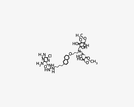 CC1OC[C@@H](O)[C@H]([C@H](O)[C@@H](O)CN(CCCOc2ccc3cc(CCCCNC(=N)NC(=O)c4nc(Cl)c(N)nc4N)ccc3c2)C[C@H](O)C[C@@H]2OC(C)OC[C@H]2O)O1